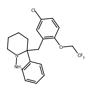 NN1CCCCC1(Cc1cc(Cl)ccc1OCC(F)(F)F)c1ccccc1